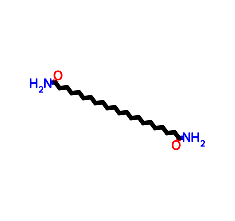 NC(=O)CCCCCCCCCCCCCCCCCCCCC(N)=O